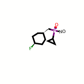 O=NP(=O)(C[C@H]1CC[C@H](F)CC1)C1CC1